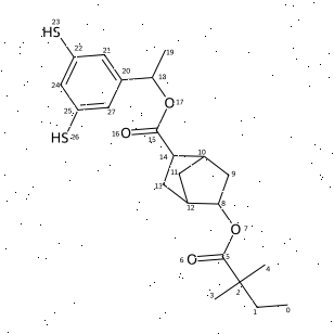 CCC(C)(C)C(=O)OC1CC2CC1CC2C(=O)OC(C)c1cc(S)cc(S)c1